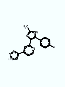 Cc1nc(-c2cc(-c3c[nH]nn3)ccn2)c(-c2ccc(F)cc2)[nH]1